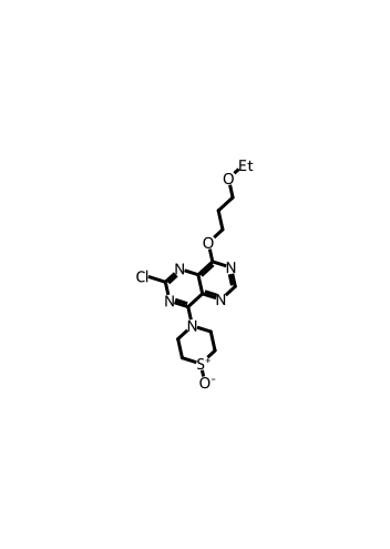 CCOCCCOc1ncnc2c(N3CC[S+]([O-])CC3)nc(Cl)nc12